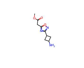 COC(=O)Cc1nc(C2CC(N)C2)no1